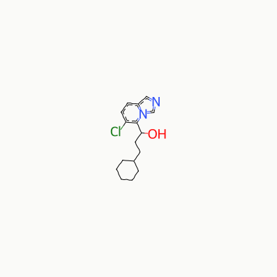 OC(CCC1CCCCC1)c1c(Cl)ccc2cncn12